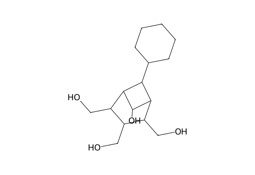 OCC1C(CO)C2C(O)C(C1CO)C2C1CCCCC1